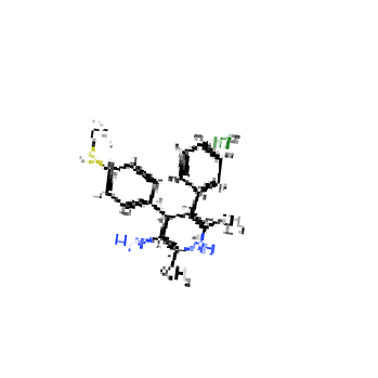 CC1=C(N)C(c2ccc(SC(F)(F)F)cc2)C(c2ccccc2)=C(C)N1.Cl